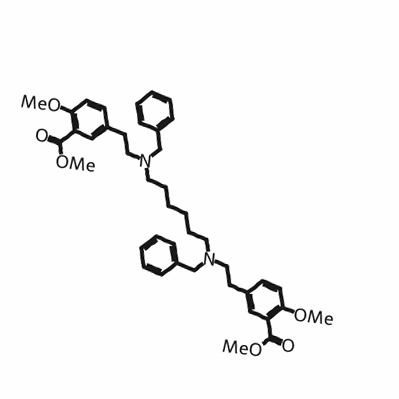 COC(=O)c1cc(CCN(CCCCCCN(CCc2ccc(OC)c(C(=O)OC)c2)Cc2ccccc2)Cc2ccccc2)ccc1OC